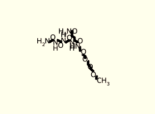 CCCOCCOCCOCCOCCNC(=O)C(CCC(N)=O)NC(=O)CNC(=O)CNC(=O)CN